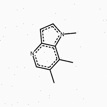 Cc1cnc2ccn(C)c2c1C